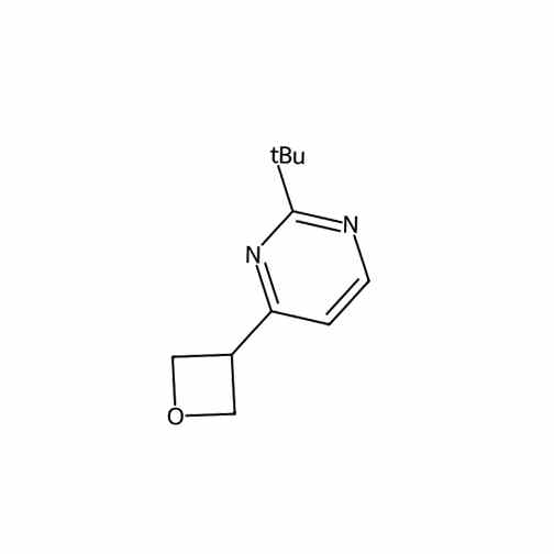 CC(C)(C)c1nccc(C2COC2)n1